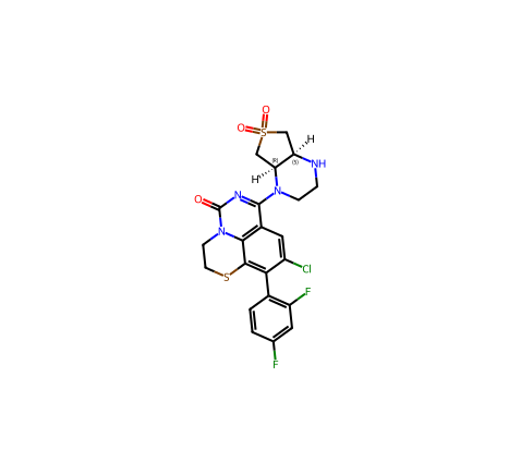 O=c1nc(N2CCN[C@@H]3CS(=O)(=O)C[C@@H]32)c2cc(Cl)c(-c3ccc(F)cc3F)c3c2n1CCS3